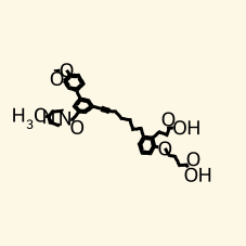 CN1CCN(C(=O)c2cc(C#CCCCCCc3cccc(OCCCC(=O)O)c3CCC(=O)O)cc(-c3ccc4c(c3)OCO4)c2)CC1